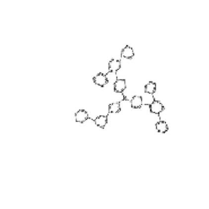 c1ccc(-c2cccc(-c3ccc(N(c4ccc(-c5cc(-c6ccccc6)ccc5-c5ccccc5)cc4)c4ccc(-c5cc(-c6ccccc6)ccc5-c5ccccc5)cc4)cc3)c2)cc1